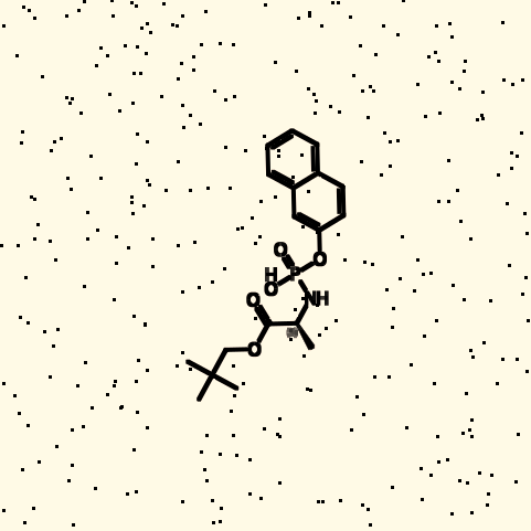 C[C@H](NP(=O)(O)Oc1ccc2ccccc2c1)C(=O)OCC(C)(C)C